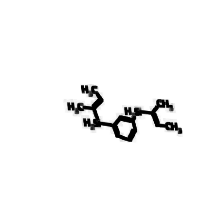 CC=C(C)[SiH2]c1cccc([SiH2]C(C)=CC)c1